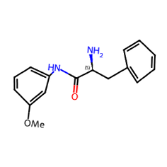 COc1cccc(NC(=O)[C@@H](N)Cc2ccccc2)c1